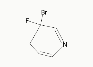 FC1(Br)C=NC=CC1